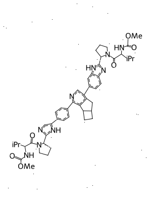 COC(=O)NC(C(=O)N1CCCC1c1ncc(-c2ccc(-c3ncc(-c4ccc5nc(C6CCCN6C(=O)C(NC(=O)OC)C(C)C)[nH]c5c4)c4c3C3CCC3C4)cc2)[nH]1)C(C)C